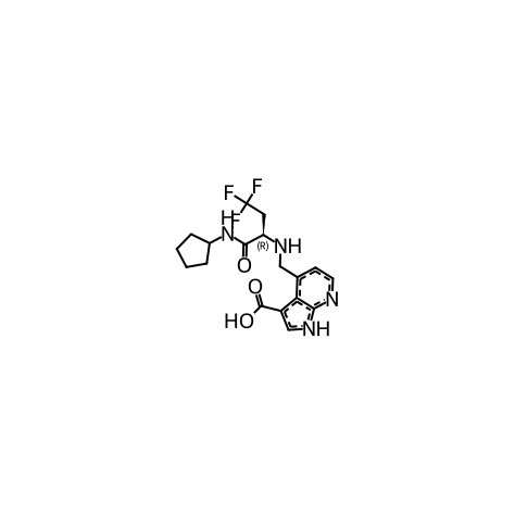 O=C(O)c1c[nH]c2nccc(CN[C@H](CC(F)(F)F)C(=O)NC3CCCC3)c12